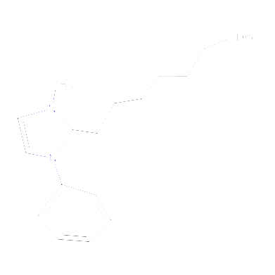 CCCCCCCCCCCCCCCCC1N(CCCC)C=CN1c1ccccc1